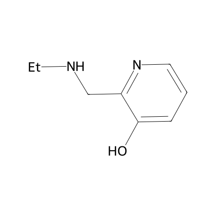 CCNCc1ncccc1O